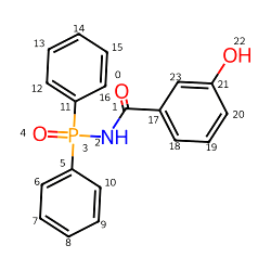 O=C(NP(=O)(c1ccccc1)c1ccccc1)c1cccc(O)c1